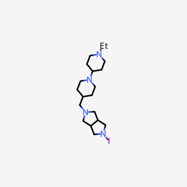 CCN1CCC(N2CCC(CN3CC4CN(I)CC4C3)CC2)CC1